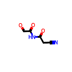 N#CCC(=O)NC(=O)C=O